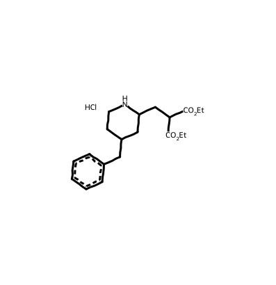 CCOC(=O)C(CC1CC(Cc2ccccc2)CCN1)C(=O)OCC.Cl